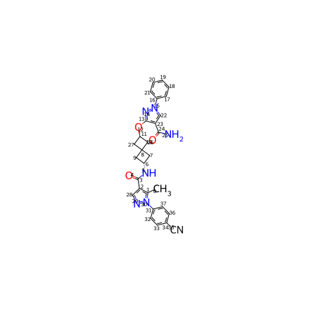 Cc1c(C(=O)N[C@H]2CC3(C2)C[C@H](Oc2nn(-c4ccccc4)cc2C(N)=O)C3)cnn1-c1ccc(C#N)cc1